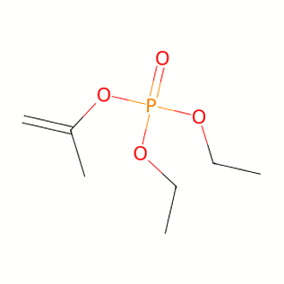 C=C(C)OP(=O)(OCC)OCC